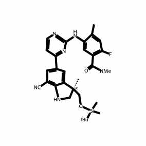 CNC(=O)c1cc(Nc2nccc(-c3cc(C#N)c4c(c3)[C@@](C)(CO[Si](C)(C)C(C)(C)C)CN4)n2)c(C)cc1F